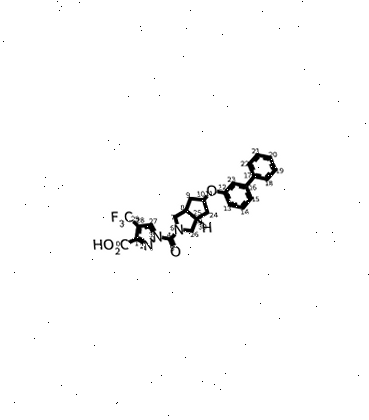 O=C(O)c1nn(C(=O)N2CC3CC(Oc4cccc(-c5ccccc5)c4)C[C@@H]3C2)cc1C(F)(F)F